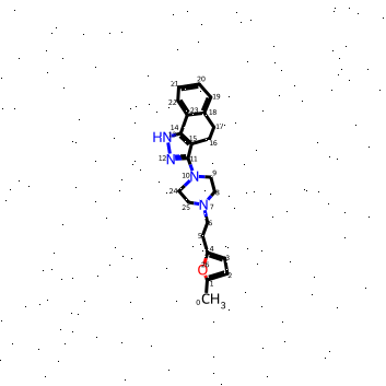 Cc1ccc(CCN2CCN(c3n[nH]c4c3CCc3ccccc3-4)CC2)o1